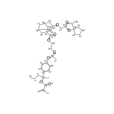 C=C(C)C(=O)OC(C)(CCC)c1ccc(OC(C)OCCOC(=O)C23CC4CC(CC(OCC(=O)OC5(CC)CCCC5)(C4)C2)C3)cc1